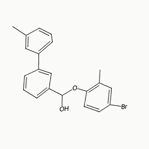 Cc1cccc(-c2cccc(C(O)Oc3ccc(Br)cc3C)c2)c1